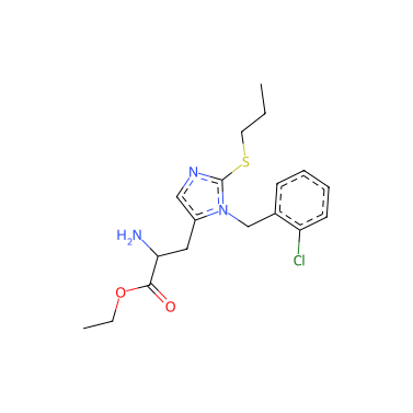 CCCSc1ncc(CC(N)C(=O)OCC)n1Cc1ccccc1Cl